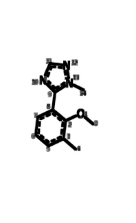 COc1c(C)cccc1-c1ncnn1C